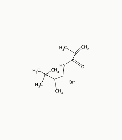 C=C(C)C(=O)NCC(C)[N+](C)(C)C.[Br-]